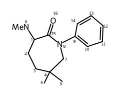 CNC1CCC(C)(C)CN(c2ccccc2)C1=O